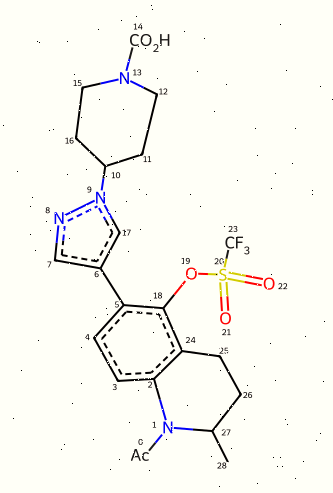 CC(=O)N1c2ccc(-c3cnn(C4CCN(C(=O)O)CC4)c3)c(OS(=O)(=O)C(F)(F)F)c2CCC1C